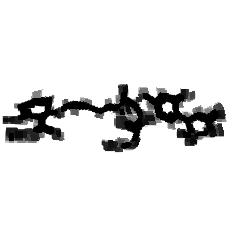 COC(=O)c1c(O)cccc1OCCCCCNC(=O)[C@H](Cc1ccc(C2CC(=O)NS2(=O)=O)c(F)c1)NC(=O)OC(C)(C)C